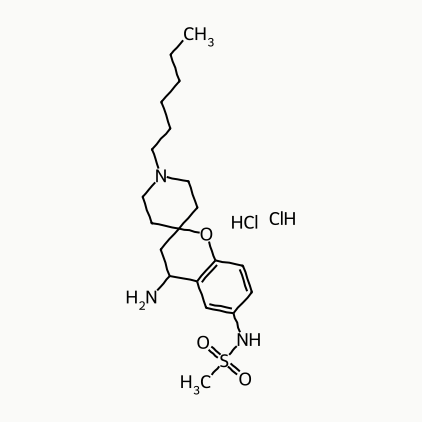 CCCCCCN1CCC2(CC1)CC(N)c1cc(NS(C)(=O)=O)ccc1O2.Cl.Cl